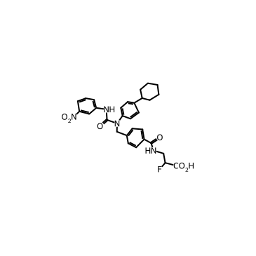 O=C(NCC(F)C(=O)O)c1ccc(CN(C(=O)Nc2cccc([N+](=O)[O-])c2)c2ccc(C3CCCCC3)cc2)cc1